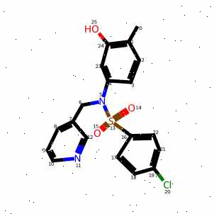 Cc1ccc(N(Cc2cccnc2)S(=O)(=O)c2ccc(Cl)cc2)cc1O